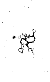 Cc1c2ccc(=O)[nH]c2cc[n+]1[O-].Cl